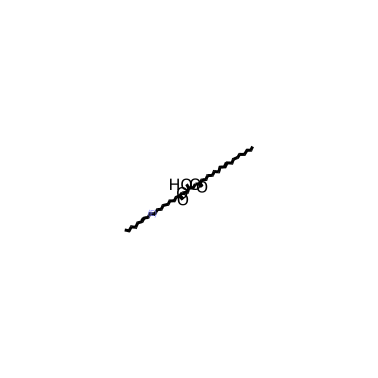 CCCCCC=CC/C=C/CCCCCCCC(=O)OCC(O)COC(=O)CCCCCCCC=CCCCCCCCC